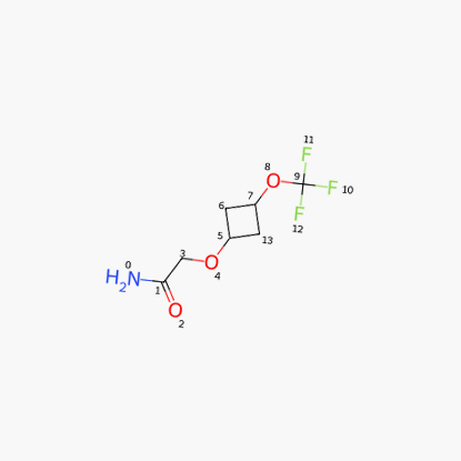 NC(=O)COC1CC(OC(F)(F)F)C1